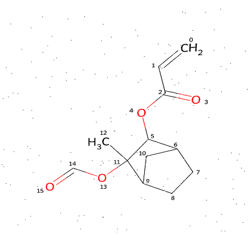 C=CC(=O)OC1C2CCC(C2)C1(C)OC=O